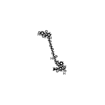 CNC(=O)c1nnc(NC(=O)C2CC2)cc1Nc1cccc(-c2ncn(CCNC(=O)CCOCCOCCOCCOCCNc3cccc4c3C(=O)N(C3CCC(=O)NC3=O)C4=O)n2)c1OC